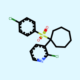 O=S(=O)(c1ccc(Cl)cc1)C1(c2cccnc2Cl)CCCCCC1